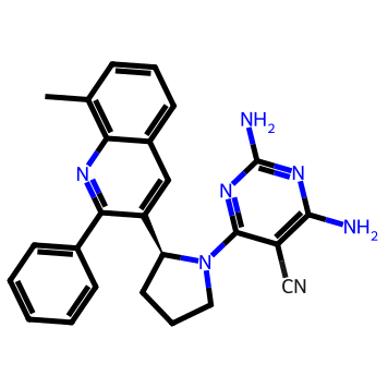 Cc1cccc2cc([C@@H]3CCCN3c3nc(N)nc(N)c3C#N)c(-c3ccccc3)nc12